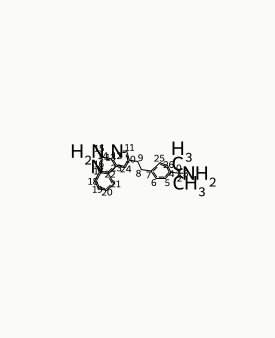 CC(C)(N)c1ccc(CCc2cnc3c(N)nc4ccccc4c3c2)cc1